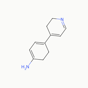 NC1=CC=C(C2=CC=NCC2)CC1